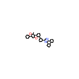 Cc1c2oc3ccccc3c2cc2oc3c(-c4cccc(-c5cnc6c7ccccc7c7ccccc7c6n5)c4)cccc3c12